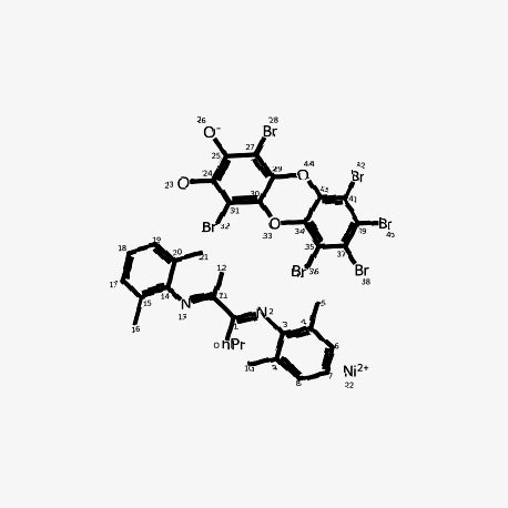 CCCC(=Nc1c(C)cccc1C)C(C)=Nc1c(C)cccc1C.[Ni+2].[O-]c1c([O-])c(Br)c2c(c1Br)Oc1c(Br)c(Br)c(Br)c(Br)c1O2